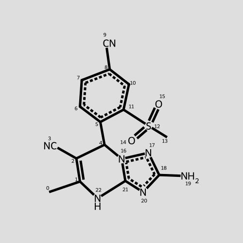 CC1=C(C#N)C(c2ccc(C#N)cc2S(C)(=O)=O)n2nc(N)nc2N1